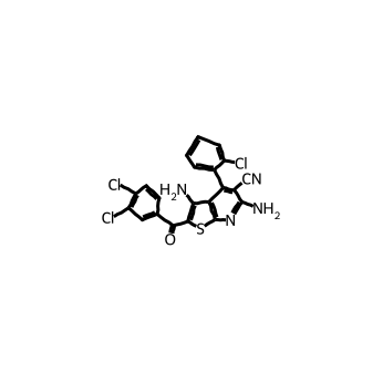 N#Cc1c(N)nc2sc(C(=O)c3ccc(Cl)c(Cl)c3)c(N)c2c1-c1ccccc1Cl